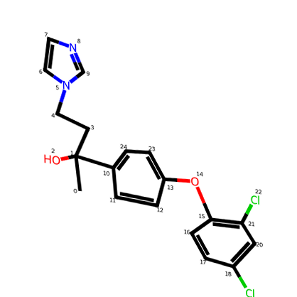 CC(O)(CCn1ccnc1)c1ccc(Oc2ccc(Cl)cc2Cl)cc1